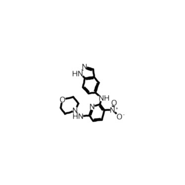 O=[N+]([O-])c1ccc(NN2CCOCC2)nc1Nc1ccc2[nH]ncc2c1